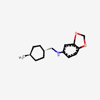 C[C@H]1CC[C@H](CNc2ccc3c(c2)OCO3)CC1